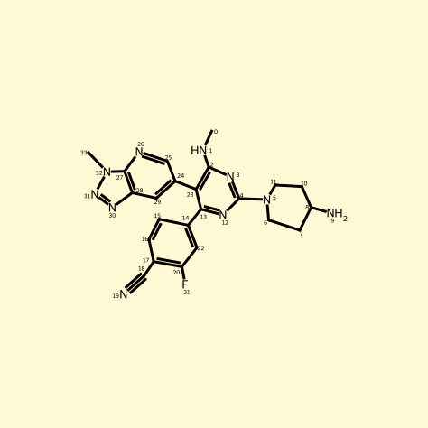 CNc1nc(N2CCC(N)CC2)nc(-c2ccc(C#N)c(F)c2)c1-c1cnc2c(c1)nnn2C